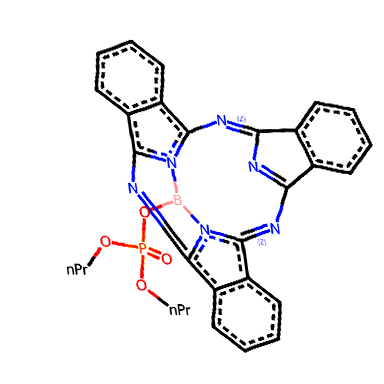 CCCOP(=O)(OCCC)OB1n2c3c4ccccc4c2/N=C2N=C(/N=c4/c5ccccc5c(n41)=N3)c1ccccc1\2